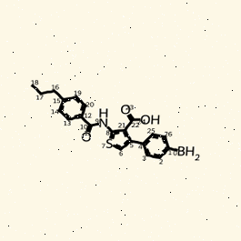 Bc1ccc(-c2csc(NC(=O)c3ccc(CCC)cc3)c2C(=O)O)cc1